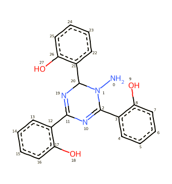 NN1C(c2ccccc2O)=NC(c2ccccc2O)=NC1c1ccccc1O